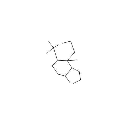 CC1(C)CCCC2(C)C3CCOC3CCC12